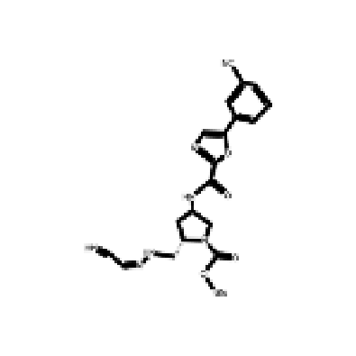 CC(C)(C)OC(=O)N1C[C@H](NC(=O)c2ncc(-c3cccc(C#N)c3)o2)C[C@H]1CN/N=C\C=N